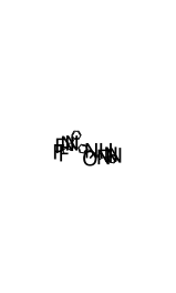 O=C(Nc1ccc(-c2cc(C(F)(F)F)nn2-c2ccccc2)cc1)C1CN(c2cccnn2)C1